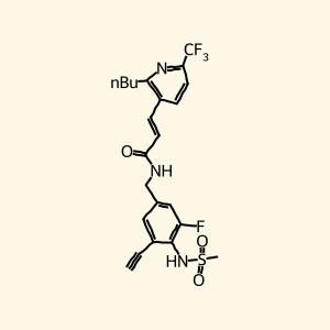 C#Cc1cc(CNC(=O)/C=C/c2ccc(C(F)(F)F)nc2CCCC)cc(F)c1NS(C)(=O)=O